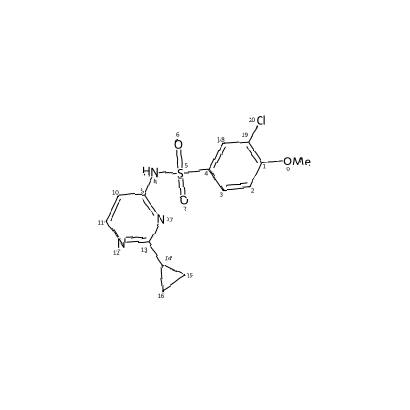 COc1ccc(S(=O)(=O)Nc2ccnc(C3CC3)n2)cc1Cl